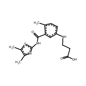 Cc1ccc(NCCC(=O)O)cc1C(=O)Nc1nc(C)c(C)s1